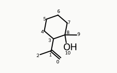 C=C(C)C1CCCCC1(C)O